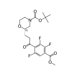 COC(=O)c1cc(F)c(C(=O)CC[C@H]2CN(C(=O)OC(C)(C)C)CCO2)c(F)c1F